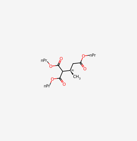 CCCOC(=O)C[C@@H](C)C(C(=O)OCCC)C(=O)OCCC